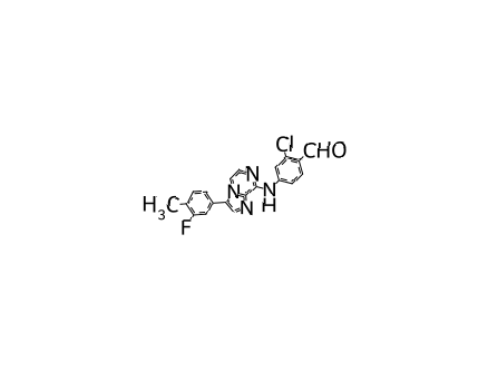 Cc1ccc(-c2cnc3c(Nc4ccc(C=O)c(Cl)c4)nccn23)cc1F